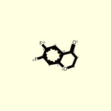 O=C1CCOc2cc(F)c(F)cc21